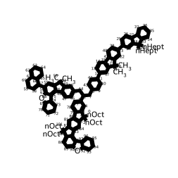 CCCCCCCCC1(CCCCCCCC)c2cc(C(Cc3ccc(-c4ccc5c(c4)C(C)(C)c4cc(-c6ccc7c(c6)C(CCCCCCC)(CCCCCCC)c6ccccc6-7)ccc4-5)cc3)Cc3ccc4c(c3)C(C)(C)c3cc(-c5cccc6ccccc56)c5oc6ccccc6c5c3-4)ccc2-c2cc3c(cc21)-c1c(ccc2oc4ccccc4c12)C3(CCCCCCCC)CCCCCCCC